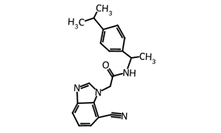 CC(C)c1ccc(C(C)NC(=O)Cn2cnc3cccc(C#N)c32)cc1